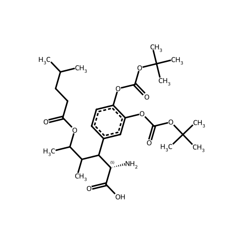 CC(C)CCC(=O)OC(C)C(C)C(c1ccc(OC(=O)OC(C)(C)C)c(OC(=O)OC(C)(C)C)c1)[C@H](N)C(=O)O